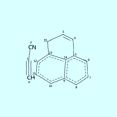 C#CC#N.C1=Cc2cccc3cccc(c23)C1